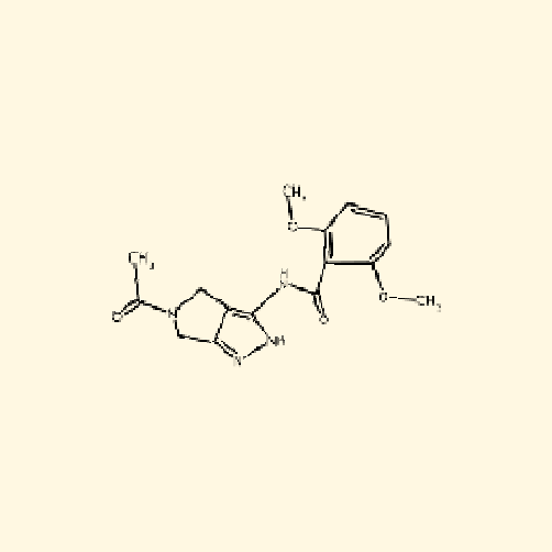 COc1cccc(OC)c1C(=O)Nc1[nH]nc2c1CN(C(C)=O)C2